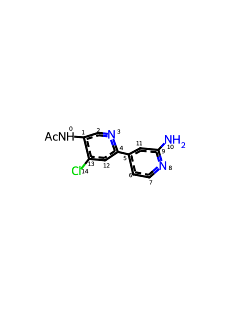 CC(=O)Nc1cnc(-c2ccnc(N)c2)cc1Cl